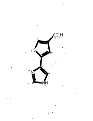 O=C(O)c1csc(-c2c[nH]cn2)c1